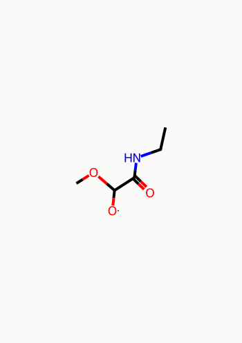 CCNC(=O)C([O])OC